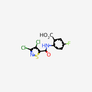 O=C(O)c1cc(F)ccc1NC(=O)c1snc(Cl)c1Cl